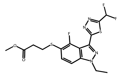 CCn1nc(-c2nnc(C(F)F)s2)c2c(F)c(SCCC(=O)OC)ccc21